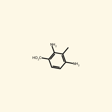 Cc1c(N)ccc(C(=O)O)c1N